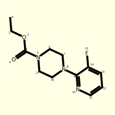 CCOC(=O)N1CCN(c2ncccc2F)CC1